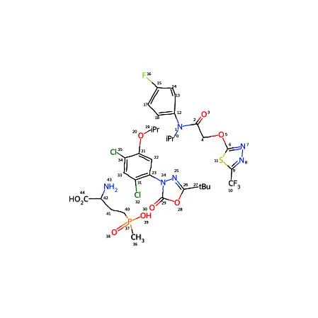 CC(C)N(C(=O)COc1nnc(C(F)(F)F)s1)c1ccc(F)cc1.CC(C)Oc1cc(-n2nc(C(C)(C)C)oc2=O)c(Cl)cc1Cl.CP(=O)(O)CCC(N)C(=O)O